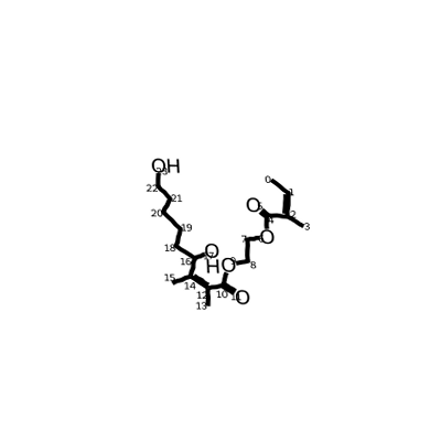 CC=C(C)C(=O)OCCOC(=O)C(C)=C(C)C(O)CCCCCO